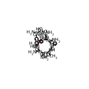 CC(C)C[C@@H]1NC(=O)[C@@H](Cc2ccccc2)NC(=O)[C@H](CCN)NC(=O)[C@@H](NC(=O)[C@H](CN)NC(=O)[C@H](CO)NC(=O)[C@H](CCN)NC(=O)c2ccnc(-c3ccccc3)c2)CCNC(=O)[C@H]([C@@H](C)O)NC(=O)[C@H](CCN)NC(=O)[C@H](CCN)NC1=O